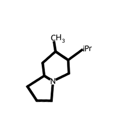 CC(C)C1CN2CCCC2CC1C